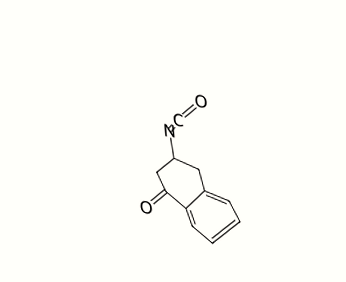 O=C=NC1CC(=O)c2ccccc2C1